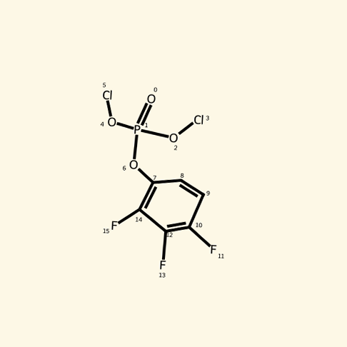 O=P(OCl)(OCl)Oc1ccc(F)c(F)c1F